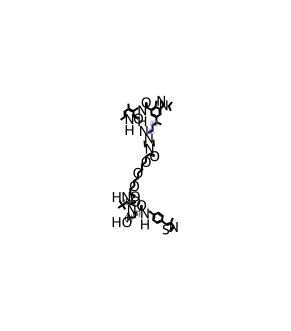 C=N/C(=C\C=C(/C)c1cc(C(=O)NCc2c(C)cc(C)[nH]c2=O)c2cnn(C(C)C)c2c1)N1CCN(C(=O)COCCOCCOCC(=O)N[C@H](C(=O)N2C[C@H](O)C[C@H]2C(=O)NCc2ccc(-c3scnc3C)cc2)C(C)(C)C)CC1